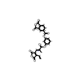 C=CC1=C(/C=C(\C)C(=O)Oc2cccc(OC(=O)c3ccc4c(c3)C(=O)OC4=O)c2)C(=O)OC1=O